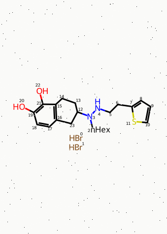 Br.Br.CCCCCCN(NCCc1cccs1)C1CCc2c(ccc(O)c2O)C1